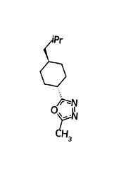 Cc1nnc([C@H]2CC[C@H](CC(C)C)CC2)o1